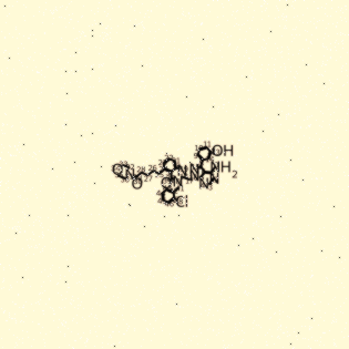 Nc1ncnc2c1c(-c1cccc(O)c1)nn2Cc1nc2cccc(CCCCC(=O)N3CCOCC3)c2c(=O)n1Cc1ccccc1Cl